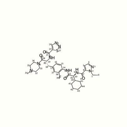 CCn1nccc1C(=O)N[C@H](C(=O)Nc1ccc(C[C@@H](NC(=O)c2cnns2)C(=O)N2CCN(C)CC2)cc1F)C1CCCCC1